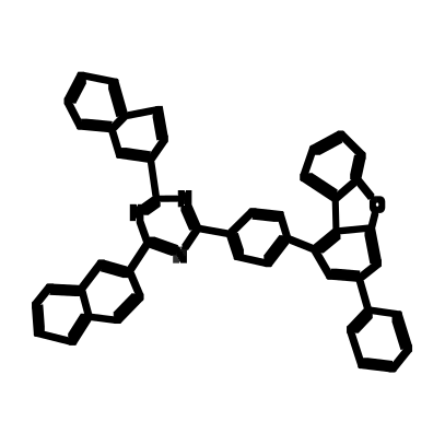 c1ccc(-c2cc(-c3ccc(-c4nc(-c5ccc6ccccc6c5)nc(-c5ccc6ccccc6c5)n4)cc3)c3c(c2)oc2ccccc23)cc1